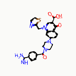 N=C(N)c1ccc(C(=O)N2CCN(c3ccc4c(=O)c(C(=O)O)cn(Cc5nccs5)c4c3)CC2)cc1